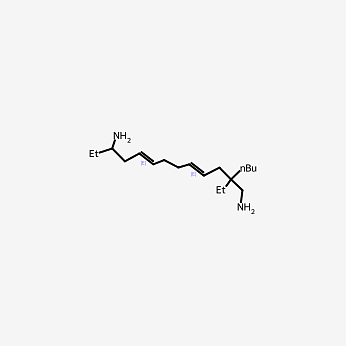 CCCCC(CC)(CN)C/C=C/CC/C=C/CC(N)CC